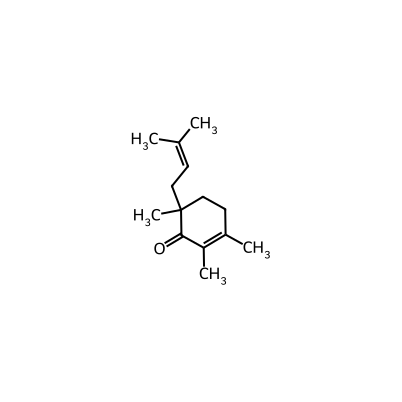 CC(C)=CCC1(C)CCC(C)=C(C)C1=O